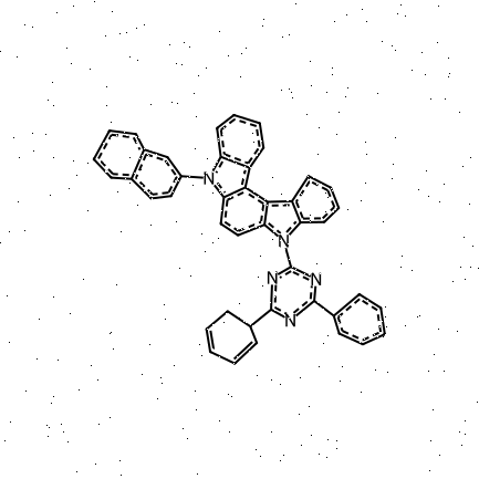 C1=CCC(c2nc(-c3ccccc3)nc(-n3c4ccccc4c4c5c6ccccc6n(-c6ccc7ccccc7c6)c5ccc43)n2)C=C1